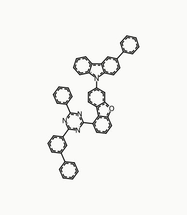 c1ccc(-c2cccc(-c3nc(-c4ccccc4)nc(-c4cccc5oc6cc(-n7c8ccccc8c8cc(-c9ccccc9)ccc87)ccc6c45)n3)c2)cc1